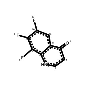 O=c1cc[nH]c2c(F)c(F)c(F)cc12